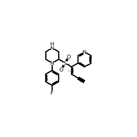 C#C/C=C(\c1cccnc1)S(=O)(=O)C1CNCCN1c1ccc(F)cc1